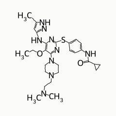 CCOc1c(Nc2cc(C)[nH]n2)nc(Sc2ccc(NC(=O)C3CC3)cc2)nc1N1CCN(CCN(C)C)CC1